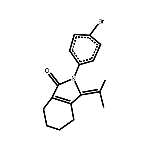 CC(C)=C1C2=C(CCCC2)C(=O)N1c1ccc(Br)cc1